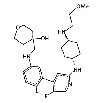 COCCN[C@H]1CC[C@H](Nc2cc(-c3cc(NCC4(O)CCOCC4)ccc3F)c(F)cn2)CC1